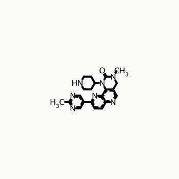 Cc1ncc(-c2ccc3ncc4c(c3n2)N(C2CCNCC2)C(=O)N(C)C4)cn1